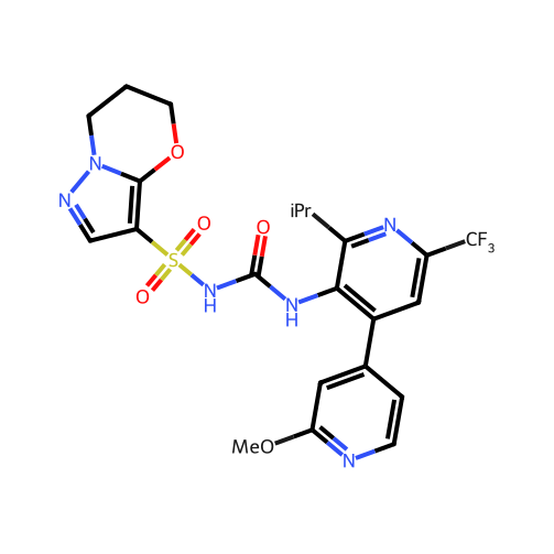 COc1cc(-c2cc(C(F)(F)F)nc(C(C)C)c2NC(=O)NS(=O)(=O)c2cnn3c2OCCC3)ccn1